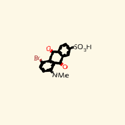 CNc1ccc(Br)c2c1C(=O)c1cc(S(=O)(=O)O)ccc1C2=O